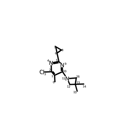 Cc1c(Cl)nc(C2CC2)nc1N1CC(C)(C)C1